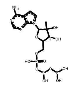 CC1(O)C(n2ccc3c(N)ncnc32)OC(COP(=O)(O)OP(O)OP(O)O)[C@@H]1O